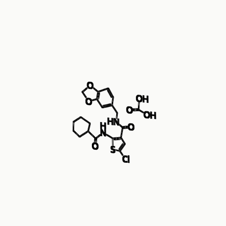 O=C(NCc1ccc2c(c1)OCO2)c1cc(Cl)sc1NC(=O)C1CCCCC1.O=C(O)O